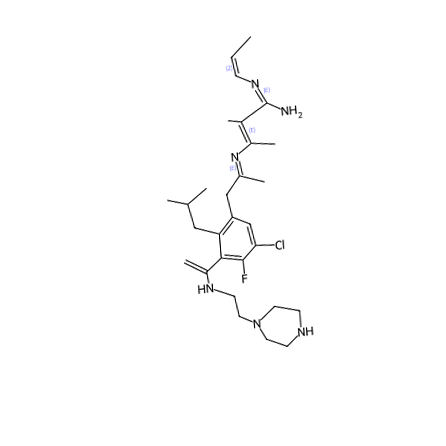 C=C(NCCN1CCNCC1)c1c(F)c(Cl)cc(C/C(C)=N/C(C)=C(C)/C(N)=N\C=C/C)c1CC(C)C